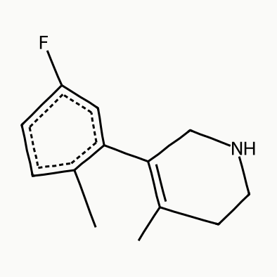 CC1=C(c2cc(F)ccc2C)CNCC1